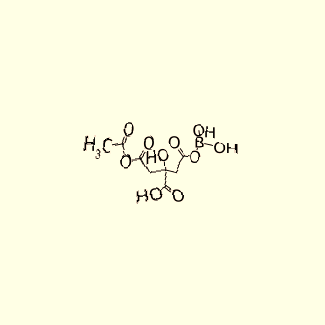 CC(=O)OC(=O)CC(O)(CC(=O)OB(O)O)C(=O)O